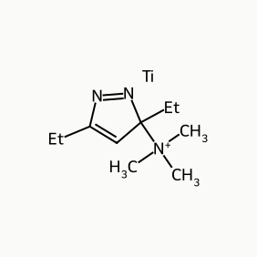 CCC1=CC(CC)([N+](C)(C)C)N=N1.[Ti]